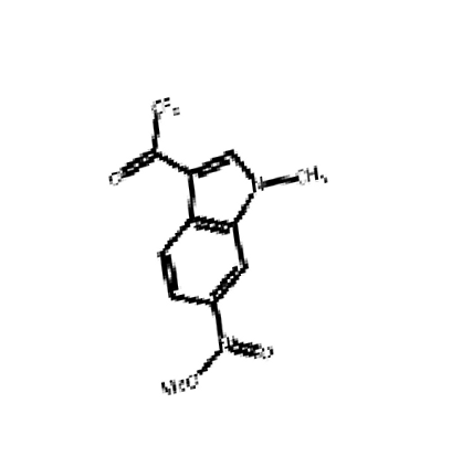 CO[N+](=O)c1ccc2c(C(=O)C(F)(F)F)cn(C)c2c1